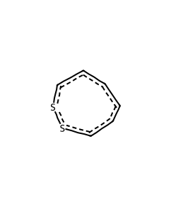 c1cccsscc1